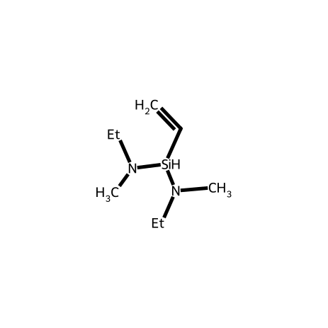 C=C[SiH](N(C)CC)N(C)CC